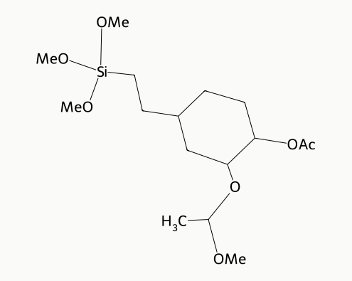 COC(C)OC1CC(CC[Si](OC)(OC)OC)CCC1OC(C)=O